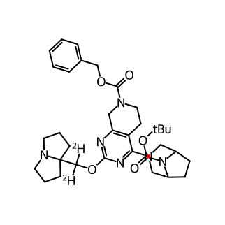 [2H]C([2H])(Oc1nc2c(c(N3CC4CCC(C3)N4C(=O)OC(C)(C)C)n1)CCN(C(=O)OCc1ccccc1)C2)C12CCCN1CCC2